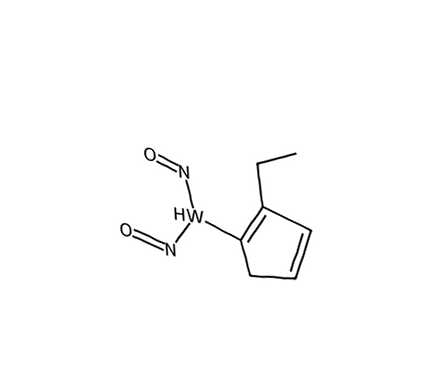 CCC1=[C]([WH]([N]=O)[N]=O)CC=C1